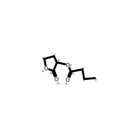 CCCC(=O)OC1CCOC1=O